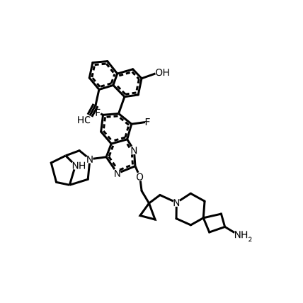 C#Cc1cccc2cc(O)cc(-c3c(F)cc4c(N5CC6CCC(C5)N6)nc(OCC5(CN6CCC7(CC6)CC(N)C7)CC5)nc4c3F)c12